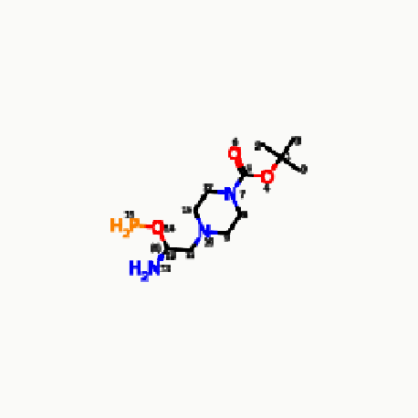 CC(C)(C)OC(=O)N1CCN(C[C@@H](N)OP)CC1